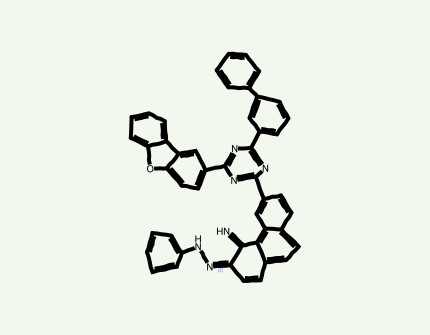 N=C1/C(=N\Nc2ccccc2)C=Cc2ccc3ccc(-c4nc(-c5cccc(-c6ccccc6)c5)nc(-c5ccc6oc7ccccc7c6c5)n4)cc3c21